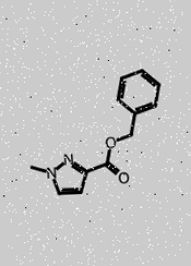 Cn1ccc(C(=O)OCc2ccccc2)n1